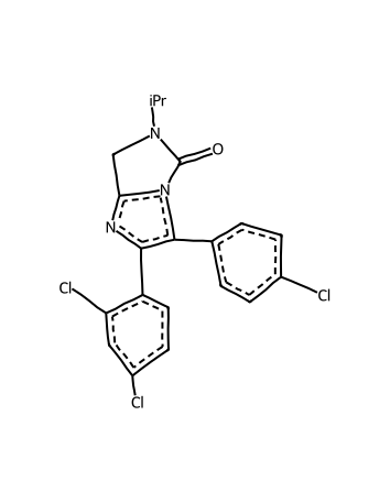 CC(C)N1Cc2nc(-c3ccc(Cl)cc3Cl)c(-c3ccc(Cl)cc3)n2C1=O